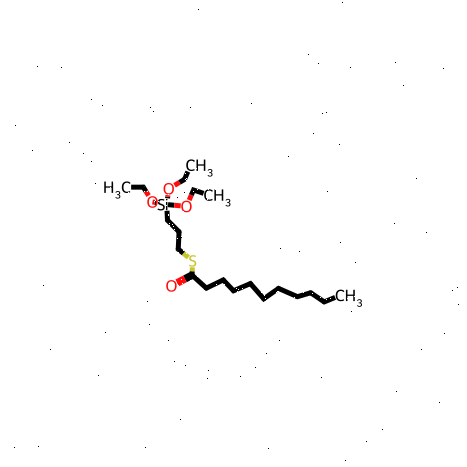 CCCCCCCCCCC(=O)SCCC[Si](OCC)(OCC)OCC